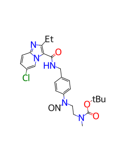 CCc1nc2ccc(Cl)cn2c1C(=O)NCc1ccc(N(CCN(C)C(=O)OC(C)(C)C)N=O)cc1